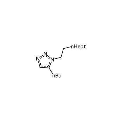 CCCCCCCCCn1nncc1CCCC